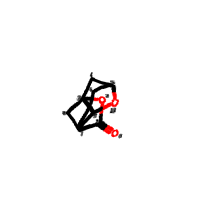 O=C1OC23CC4CC1(C2)C3O4